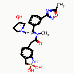 Cc1nc(-c2cccc([C@@H](CN3CC[C@H](O)C3)N(C)C(=O)Cc3ccc4c(c3)NS(O)(O)C4)c2)no1